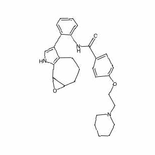 O=C(Nc1ccccc1-c1c[nH]c2c1CCCC1OC21)c1ccc(OCCN2CCCCC2)cc1